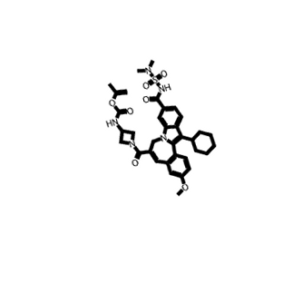 C=C(C)OC(=O)NC1CN(C(=O)C2=Cc3cc(OC)ccc3-c3c(C4CCCCC4)c4ccc(C(=O)NS(=O)(=O)N(C)C)cc4n3C2)C1